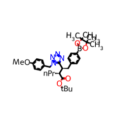 CCC[C@H](C(=O)OC(C)(C)C)[C@H](Cc1ccc(B2OC(C)(C)C(C)(C)O2)cc1)c1nnnn1Cc1ccc(OC)cc1